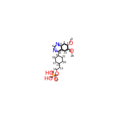 COc1cc2ncnc(C3CCC(CCOP(=O)(O)O)CC3)c2cc1OC